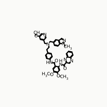 COc1cncc(CN(CCc2ccc(NC(=O)c3cc(OC)c(OC)cc3NC(=O)c3cnc4ccccc4n3)cc2)Cc2ccc3c(cnn3C)c2)c1